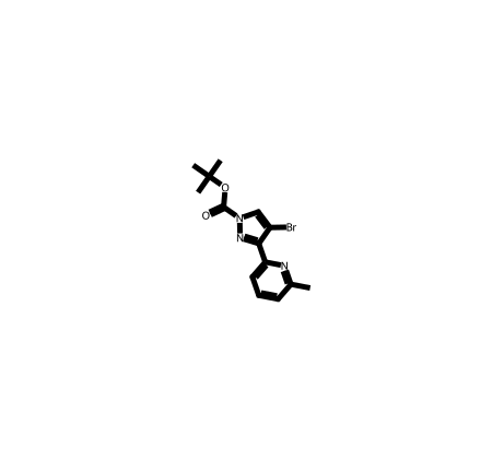 Cc1cccc(-c2nn(C(=O)OC(C)(C)C)cc2Br)n1